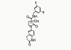 O=C1CCc2cc(N3CC[C@](O)(C(=O)NCc4cc(F)cc(F)c4)C3=O)ccc2N1